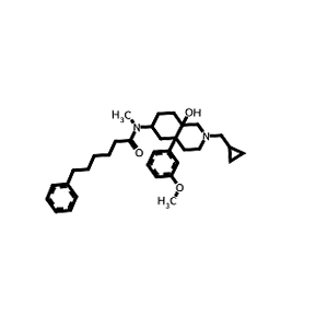 COc1cccc(C23CCN(CC4CC4)CC2(O)CCC(N(C)C(=O)CCCCCc2ccccc2)C3)c1